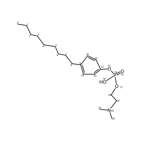 CCCCCCCCCc1ccc(OP(=O)(O)OCCN(C)C)cc1